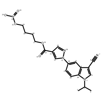 CC(C)n1cc(C#N)c2cc(-n3cc(C(=O)OCCCCO[N+](=O)[O-])cn3)ccc21